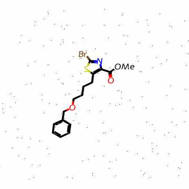 COC(=O)c1nc(Br)sc1CCCCOCc1ccccc1